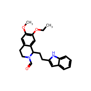 CCOc1cc2c(cc1OC)CCN(C=O)C2CCc1cc2ccccc2[nH]1